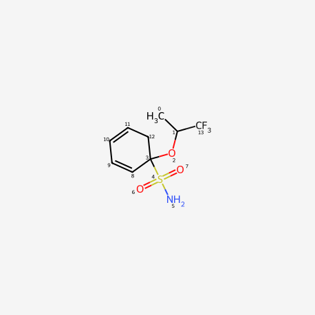 CC(OC1(S(N)(=O)=O)C=CC=CC1)C(F)(F)F